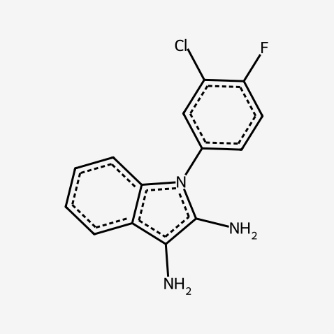 Nc1c(N)n(-c2ccc(F)c(Cl)c2)c2ccccc12